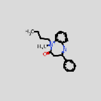 CCCC[N+]1(C)C(=O)CC(c2ccccc2)=Nc2ccccc21